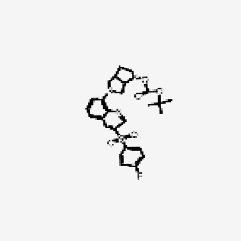 CC(C)(C)OC(=O)ON1CCC2CN(c3cccc4cc(S(=O)(=O)c5ccc(F)cc5)cnc34)CC21